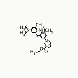 CCOC(=O)C1CN(c2cc(C)c3c(c2)Sc2cc(N(C)C)cc(C)c2N3)CCO1